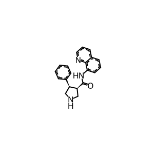 O=C(Nc1cccc2cccnc12)[C@H]1CNC[C@H]1c1ccccc1